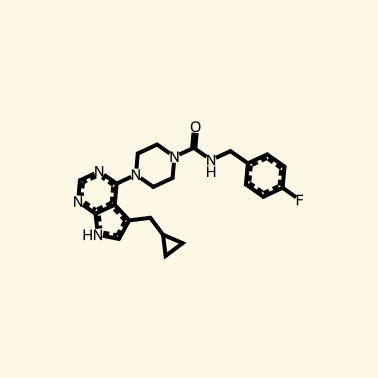 O=C(NCc1ccc(F)cc1)N1CCN(c2ncnc3[nH]cc(CC4CC4)c23)CC1